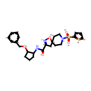 O=C(NC1CCCC1OCc1ccccc1)C1=NOC2(CCN(S(=O)(=O)c3cccs3)CC2)C1